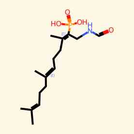 CC(C)=CCC/C(C)=C/CC/C(C)=C(\CNC=O)P(=O)(O)O